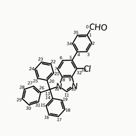 O=Cc1ccc(-c2ccc3c(ncn3C(c3ccccc3)(c3ccccc3)c3ccccc3)c2Cl)cc1